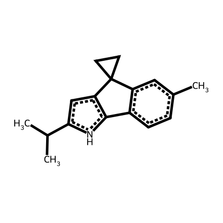 Cc1ccc2c(c1)C1(CC1)c1cc(C(C)C)[nH]c1-2